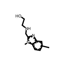 Cc1ccc2c(c1)nc(CNCCO)n2C